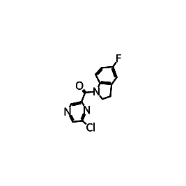 O=C(c1cncc(Cl)n1)N1CCc2cc(F)ccc21